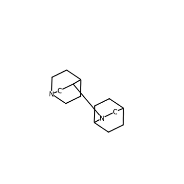 C1CC2CCC1CN2C1CN2CCC1CC2